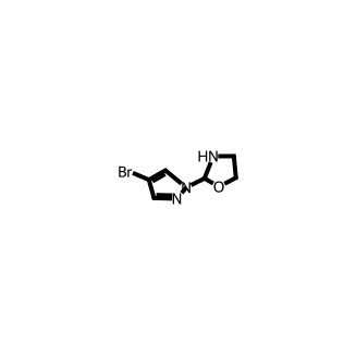 Brc1cnn(C2NCCO2)c1